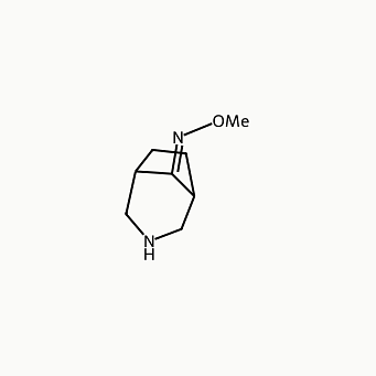 CON=C1C2CCC1CNC2